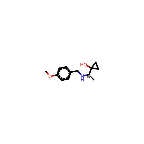 COc1ccc(CN[C@H](C)C2(O)CC2)cc1